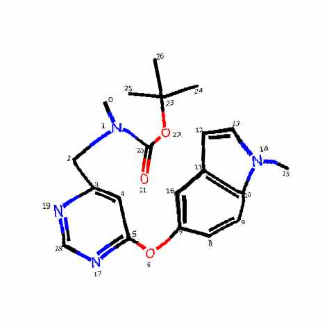 CN(Cc1cc(Oc2ccc3c(ccn3C)c2)ncn1)C(=O)OC(C)(C)C